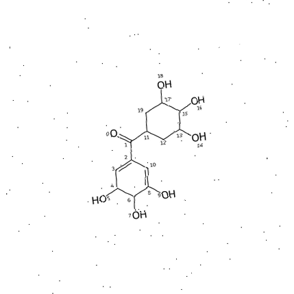 O=C(C1=CC(O)C(O)C(O)=C1)C1CC(O)C(O)C(O)C1